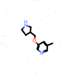 Cc1cncc(OCC2CCNC2)c1